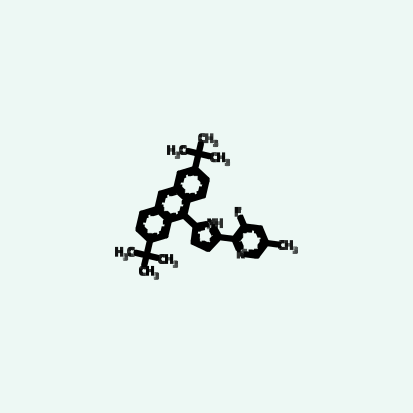 Cc1cnc(-c2ccc(-c3c4ccc(C(C)(C)C)cc4cc4ccc(C(C)(C)C)cc34)[nH]2)c(F)c1